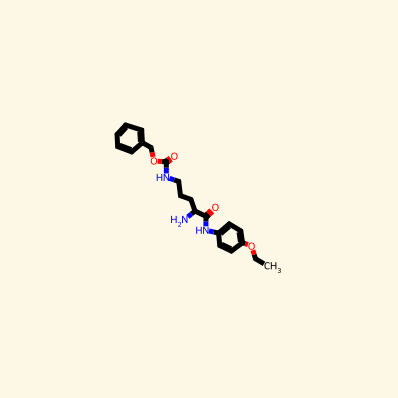 CCOc1ccc(NC(=O)C(N)CCCNC(=O)OCc2ccccc2)cc1